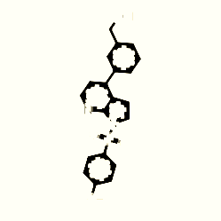 Cc1ccc(S(=O)(=O)n2ccc3c(-c4cccc(CO)c4)ccnc32)cc1